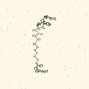 CCCCCOC(=O)CCCCCCCCCCCC(CC(=O)OCCCCC)C(C)C